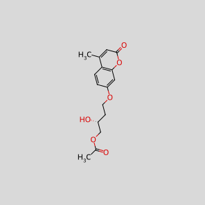 CC(=O)OC[C@H](O)CCOc1ccc2c(C)cc(=O)oc2c1